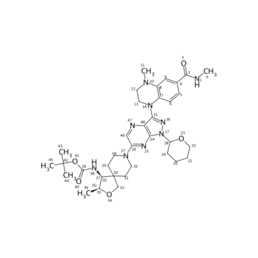 CNC(=O)c1ccc2c(c1)N(C)CCN2c1nn(C2CCCCO2)c2nc(N3CCC4(CC3)CO[C@@H](C)[C@H]4NC(=O)OC(C)(C)C)cnc12